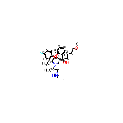 CNCC(C)N1CCC[C@@H]([C@@](O)(CCCCOC)c2ccccc2Oc2ccc(F)cc2C)C1